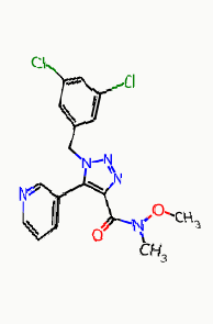 CON(C)C(=O)c1nnn(Cc2cc(Cl)cc(Cl)c2)c1-c1cccnc1